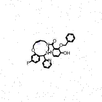 O=C1C2=C(OCc3ccccc3)C(O)C=CN2N2CN1C/C=C\COc1cc(F)ccc1C2c1ccccn1